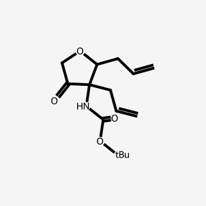 C=CCC1OCC(=O)C1(CC=C)NC(=O)OC(C)(C)C